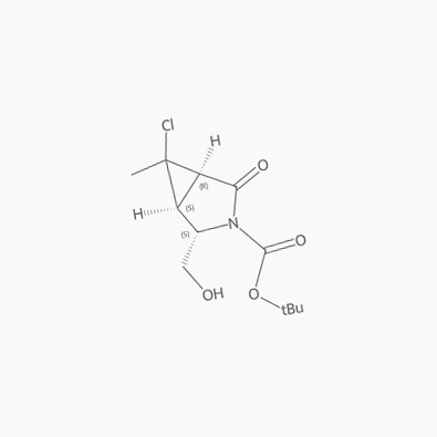 CC(C)(C)OC(=O)N1C(=O)[C@H]2[C@@H]([C@H]1CO)C2(C)Cl